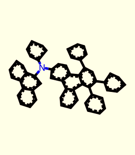 c1ccc(-c2cc(-c3ccccc3)c3c4ccc(N(c5ccccc5)c5cc6ccccc6c6ccccc56)cc4c4ccccc4c3c2-c2ccccc2)cc1